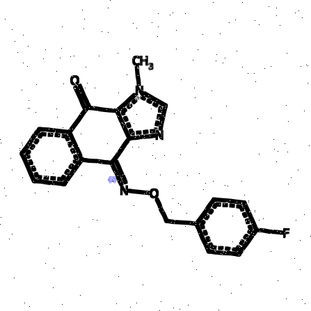 Cn1cnc2c1C(=O)c1ccccc1/C2=N/OCc1ccc(F)cc1